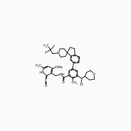 CCN(c1cc(-c2ccc3c(c2)C2(CC3)CCN(CC(F)(F)C(F)(F)F)CC2)cc(C(=O)NCC2=C(OC)C=C(C)NC2=C=O)c1C)C1CCOCC1